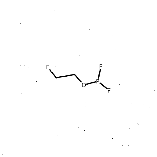 FCCOP(F)F